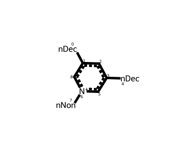 CCCCCCCCCCc1cc(CCCCCCCCCC)c[n+](CCCCCCCCC)c1